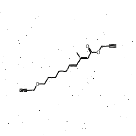 C#CCOCCCCC/C=C/C(C)=C/C(=O)OCC#C